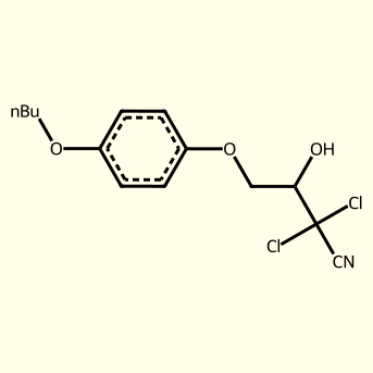 CCCCOc1ccc(OCC(O)C(Cl)(Cl)C#N)cc1